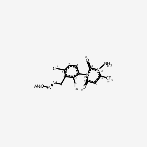 CON=NCc1c(Cl)ccc(-n2c(=O)cc(C(F)(F)F)n(N)c2=O)c1F